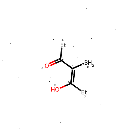 B/C(C(=O)CC)=C(/O)CC